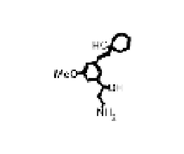 COc1cc(/C=C/C2(O)CCCCC2)cc(C(O)CCN)c1